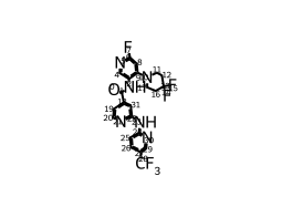 O=C(Nc1cnc(F)cc1N1CCC(F)(F)CC1)c1ccnc(Nc2ccc(C(F)(F)F)cn2)c1